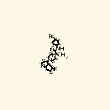 CC(C(=O)Nc1ccc(Br)cc1)N1CCN(c2ccnc3ccc(F)cc23)CC1